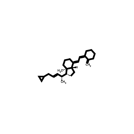 C=C1CCCC/C1=C/C=C1\CCC[C@]2(C)[C@@H]([C@H](C)/C=C/CC3CC3)CC[C@@H]12